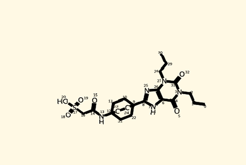 CCCn1c(=O)c2[nH]c(C34CCC(NC(=O)CS(=O)(=O)O)(CC3)CC4)nc2n(CCC)c1=O